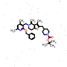 C=C1c2c(sc(CC3CCN(C(=O)OC(C)(C)C)CC3)c2C)CCN1Cc1c(C)cc(C)nc1OCc1ccccc1